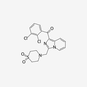 O=C(c1cccc(Cl)c1Cl)c1nc(CN2CCS(=O)(=O)CC2)n2ccccc12